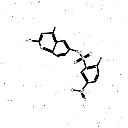 Cc1cc(O)nc2ccc(NS(=O)(=O)c3cc([N+](=O)[O-])ccc3F)cc12